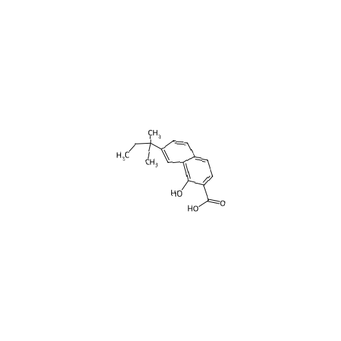 CCC(C)(C)c1ccc2ccc(C(=O)O)c(O)c2c1